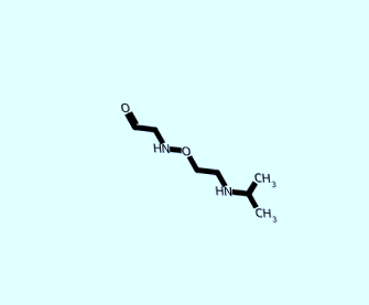 CC(C)NCCONCC=O